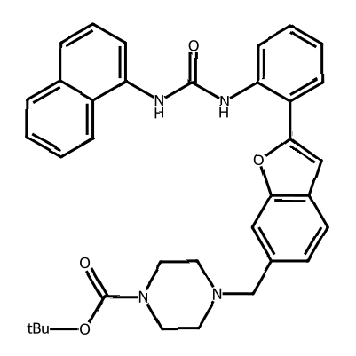 CC(C)(C)OC(=O)N1CCN(Cc2ccc3cc(-c4ccccc4NC(=O)Nc4cccc5ccccc45)oc3c2)CC1